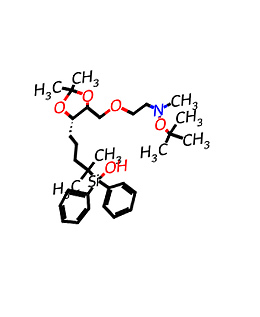 CN(CCOCC1OC(C)(C)O[C@H]1CCCC(C)(C)[Si](O)(c1ccccc1)c1ccccc1)OC(C)(C)C